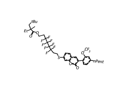 CCCCCc1ccc(-c2cc3ccc(SCCC(F)(F)C(F)(F)C(F)(F)C(F)(F)CCOC(=O)C(C)(CC)CC(C)(C)C)cc3oc2=O)c(OC(F)(F)F)c1